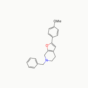 COc1ccc(-c2cc3c(o2)CN(Cc2ccccc2)CC3)cc1